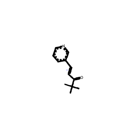 CC(C)(C)C(=O)/C=C/c1cccnc1